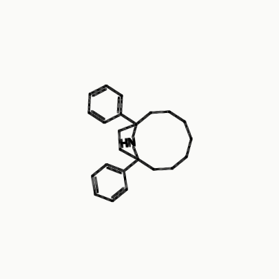 c1ccc(C23CCCCCCCC(c4ccccc4)(CC2)N3)cc1